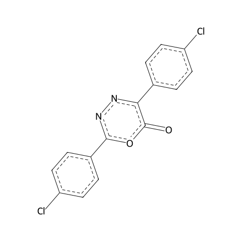 O=c1oc(-c2ccc(Cl)cc2)nnc1-c1ccc(Cl)cc1